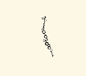 C=CC(=O)OCCCCCCOC1CCC(c2ccc(OC(=O)c3ccc4c(c3)Cc3cc(OCCCCC)ccc3-4)cc2)CC1